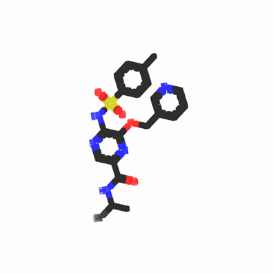 Cc1ccc(S(=O)(=O)Nc2ncc(C(=O)NC(C)C(C)C)nc2OCc2cccnc2)cc1